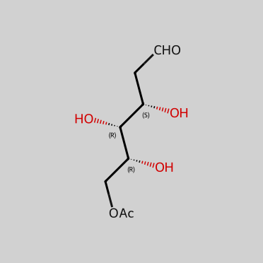 CC(=O)OC[C@@H](O)[C@H](O)[C@@H](O)CC=O